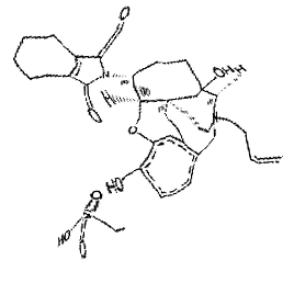 C=CCN1CC[C@]23c4c5ccc(O)c4O[C@H]2[C@H](N2C(=O)C4=C(CCCC4)C2=O)CCC3(O)[C@H]1C5.CS(=O)(=O)O